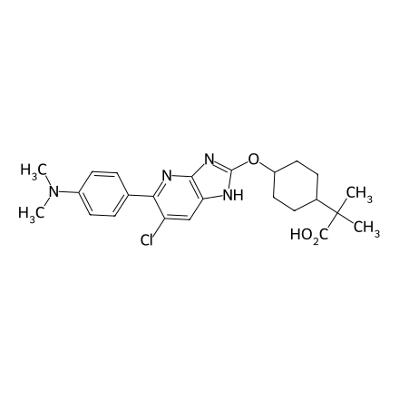 CN(C)c1ccc(-c2nc3nc(OC4CCC(C(C)(C)C(=O)O)CC4)[nH]c3cc2Cl)cc1